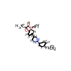 CCCCc1ccc(-c2ncc(-c3ccc(OC(C)C(=O)OCCC)cc3)cn2)cc1